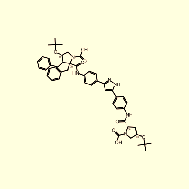 CC(C)(C)O[C@@H]1C[C@@H](C(=O)Nc2ccc(-c3cc(-c4ccc(NC(=O)[C@]5(Cc6ccccc6)C(Cc6ccccc6)[C@@H](OC(C)(C)C)CN5C(=O)O)cc4)n[nH]3)cc2)N(C(=O)O)C1